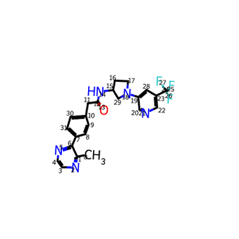 Cc1nccnc1-c1ccc(CC(=O)NC2CCN(c3cncc(C(F)(F)F)c3)C2)cc1